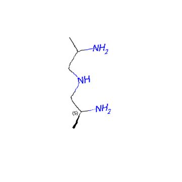 CC(N)CNC[C@H](C)N